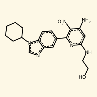 Nc1cc(NCCO)nc(-c2ccc3c(c2)ncn3C2CCCCC2)c1[N+](=O)[O-]